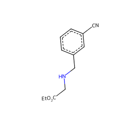 CCOC(=O)CNCc1cccc(C#N)c1